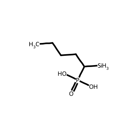 CCCCC([SiH3])P(=O)(O)O